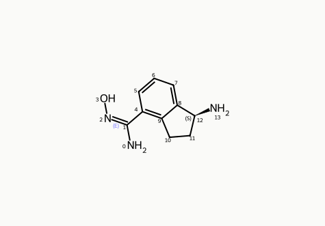 N/C(=N/O)c1cccc2c1CC[C@@H]2N